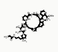 C=CC(=O)NCCC[C@@]1(C)CCN(C(=O)N(C)[C@H](C(=O)N[C@H]2Cc3nc(cs3)-c3ccc4c(c3)c(c(-c3cccnc3[C@H](C)OC)n4CC)CC(C)(C)COC(=O)[C@@]3([SiH3])CCCN(N3)C2=O)C(C)C)C1